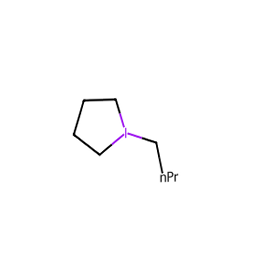 CCCCI1CCCC1